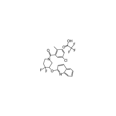 Cc1ccc(Cl)cc1C(=O)N1CCC(F)(F)C(Oc2ccc3ccccc3n2)C1.O=C(O)C(F)(F)F